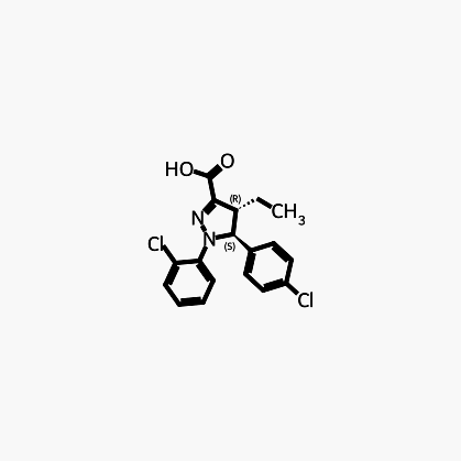 CC[C@H]1C(C(=O)O)=NN(c2ccccc2Cl)[C@@H]1c1ccc(Cl)cc1